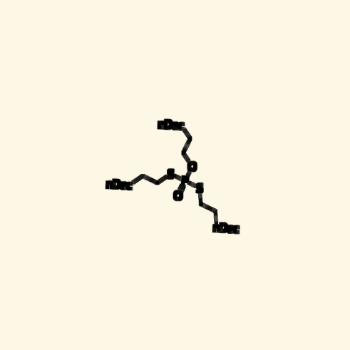 CCCCCCCCCCCCOP(=O)(SCCCCCCCCCCCC)SCCCCCCCCCCCC